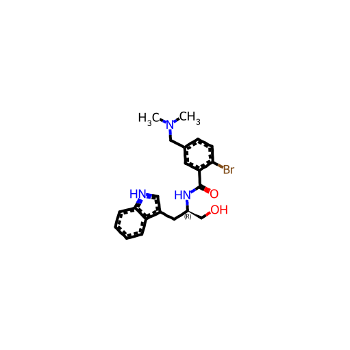 CN(C)Cc1ccc(Br)c(C(=O)N[C@@H](CO)Cc2c[nH]c3ccccc23)c1